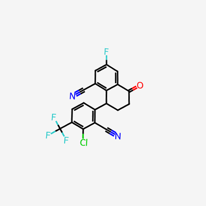 N#Cc1cc(F)cc2c1C(c1ccc(C(F)(F)F)c(Cl)c1C#N)CCC2=O